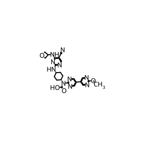 COc1ncc(-c2cnc(N(C(=O)O)[C@H]3CC[C@H](Nc4ncc(C#N)c(NC5COC5)n4)CC3)nc2)cn1